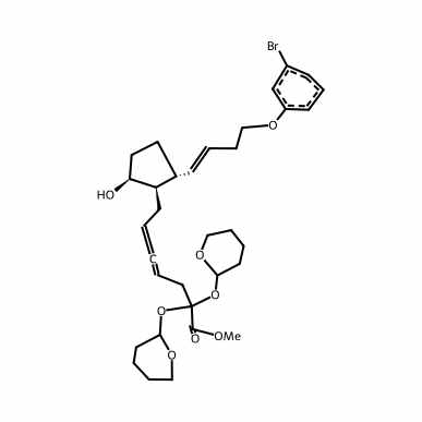 COC(=O)C(CC=C=CC[C@H]1[C@@H](O)CC[C@@H]1/C=C/CCOc1cccc(Br)c1)(OC1CCCCO1)OC1CCCCO1